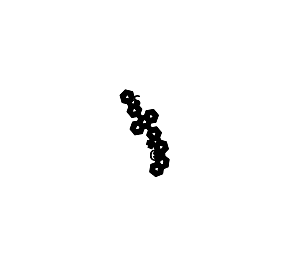 CC1(C)c2cc(-c3c4ccccc4c(-c4ccc5c(c4)sc4ccccc45)c4ccccc34)ccc2-c2ccc3c(oc4c5ccccc5ccc34)c21